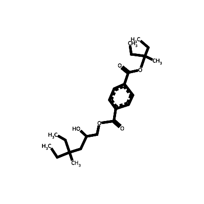 CCC(C)(CC)CC(O)COC(=O)c1ccc(C(=O)OC(C)(CC)CC)cc1